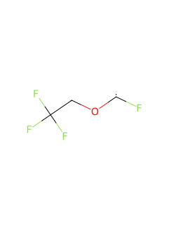 F[CH]OCC(F)(F)F